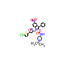 CC(C)N1CCC(NC(=O)Oc2c(-c3ccccc3)c3cc([N+](=O)[O-])ccc3n2Cc2cc(-c3ccc(Cl)s3)on2)CC1